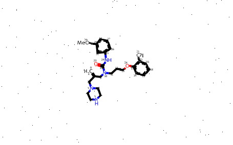 C=C(CN1CCNCC1)CN(CCCOc1ccccc1C#N)C(=O)Nc1cccc(OC)c1